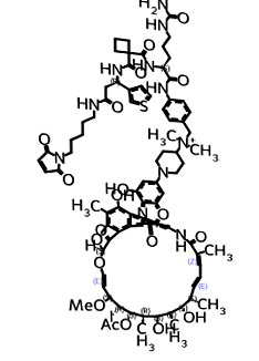 CO[C@H]1/C=C/O[C@H]2Oc3c(C)c(O)c4c(=O)c(c5oc6cc(N7CCC([N+](C)(C)Cc8ccc(NC(=O)[C@H](CCCNC(N)=O)NC(=O)C9(C(=O)N[C@H](CC(=O)NCCCCCN%10C(=O)C=CC%10=O)c%10ccsc%10)CCC9)cc8)CC7)cc(O)c6nc-5c4c3C2=O)NC(=O)/C(C)=C\C=C\[C@H](C)[C@H](O)[C@@H](C)[C@@H](O)[C@@H](C)[C@H](OC(C)=O)[C@@H]1I